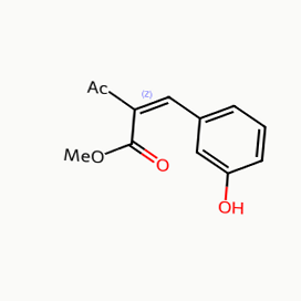 COC(=O)/C(=C\c1cccc(O)c1)C(C)=O